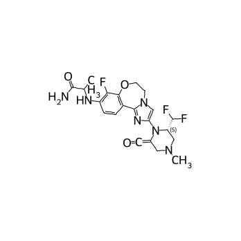 CC(Nc1ccc2c(c1F)OCCn1cc(N3C(=C=O)CN(C)C[C@H]3C(F)F)nc1-2)C(N)=O